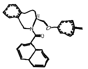 Cc1ccc(OC[C@@H]2Cc3ccccc3CN2C(=O)C2=CC=CC3C=CC=CC23)cc1